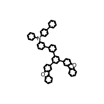 c1ccc(-c2ccc(N(c3ccccc3)c3cccc(-c4cccc(-c5cc(-c6ccc7oc8ccccc8c7c6)cc(-c6ccc7oc8ccccc8c7c6)c5)c4)c3)cc2)cc1